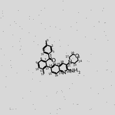 Cc1ccc(C(=O)c2cccc(C)c2-c2ccc3nc(N)c(N4CCOCC4)cc3c2)cc1